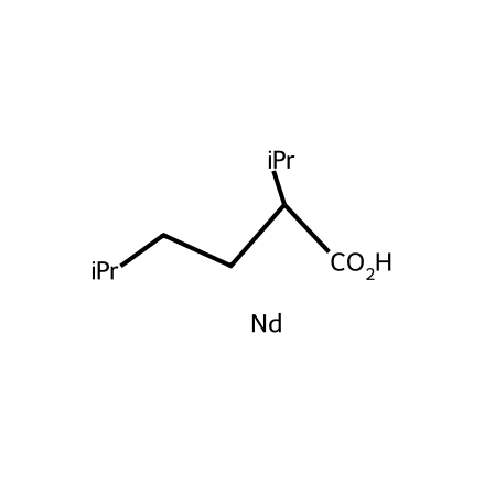 CC(C)CCC(C(=O)O)C(C)C.[Nd]